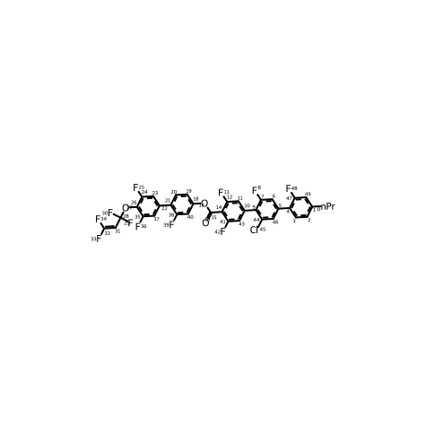 CCCc1ccc(-c2cc(F)c(-c3cc(F)c(C(=O)Oc4ccc(-c5cc(F)c(OC(F)(F)C=C(F)F)c(F)c5)c(F)c4)c(F)c3)c(Cl)c2)c(F)c1